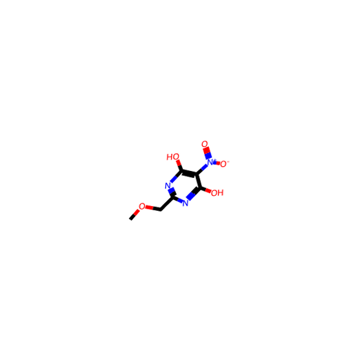 COCc1nc(O)c([N+](=O)[O-])c(O)n1